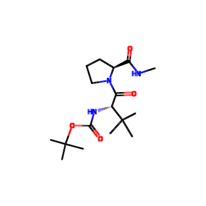 CNC(=O)[C@@H]1CCCN1C(=O)[C@@H](NC(=O)OC(C)(C)C)C(C)(C)C